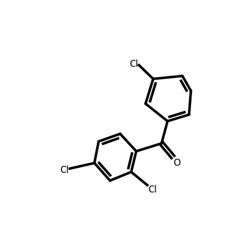 O=C(c1cccc(Cl)c1)c1ccc(Cl)cc1Cl